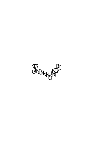 Cc1cc2nc(C(=O)N3CC(N4CCN(C(=O)c5nccs5)CC4)C3)cn2cc1Br